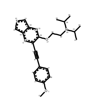 COc1ccc(C#Cc2nc3cscc3nc2OCCN(C(C)C)C(C)C)cc1